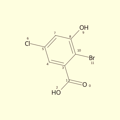 O=C(O)c1cc(Cl)cc(O)c1Br